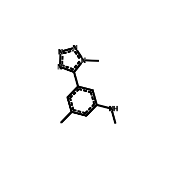 CNc1cc(C)cc(-c2nnnn2C)c1